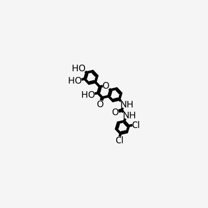 O=C(Nc1ccc2oc(-c3ccc(O)c(O)c3)c(O)c(=O)c2c1)Nc1ccc(Cl)cc1Cl